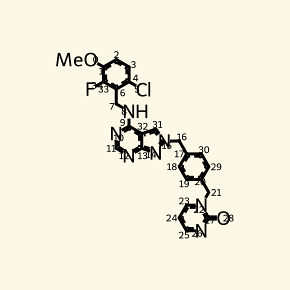 COc1ccc(Cl)c(CNc2ncnc3nn(Cc4ccc(Cn5cccnc5=O)cc4)cc23)c1F